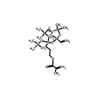 C=C[Si](C)(O[Si](C)(C)C)O[Si](CCCOC(=O)C(=C)C)(O[Si](C)(C)C)O[Si](C)(C)C